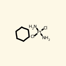 C1CCCCC1.[NH2][Pt]([NH2])([Cl])[Cl]